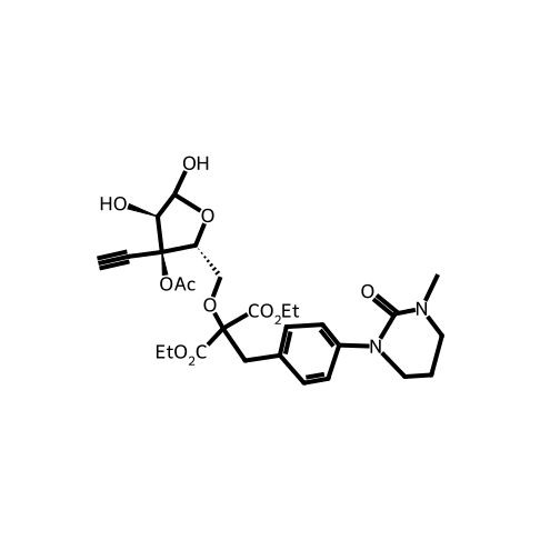 C#C[C@@]1(OC(C)=O)[C@@H](COC(Cc2ccc(N3CCCN(C)C3=O)cc2)(C(=O)OCC)C(=O)OCC)OC(O)[C@@H]1O